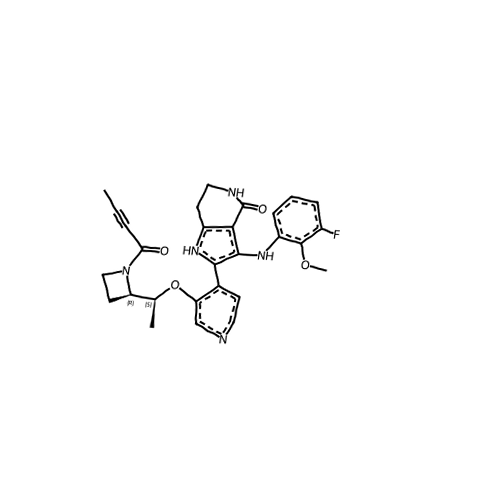 CC#CC(=O)N1CC[C@@H]1[C@H](C)Oc1cnccc1-c1[nH]c2c(c1Nc1cccc(F)c1OC)C(=O)NCC2